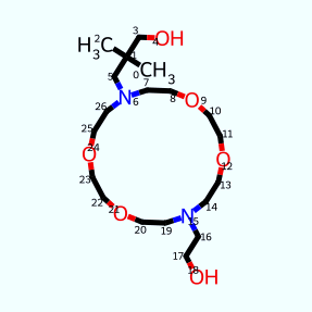 CC(C)(CO)CN1CCOCCOCCN(CCO)CCOCCOCC1